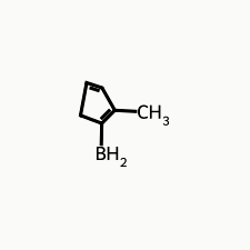 BC1=C(C)C=CC1